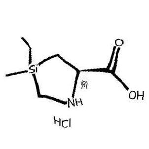 C[Si]1(C)CN[C@H](C(=O)O)C1.Cl